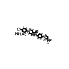 CC(=O)Nc1cc(Cl)ccc1N1CCC(C(=O)Nc2ccc(N3CCC(N(C)C)C3)cc2)CC1